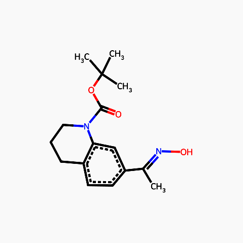 CC(=NO)c1ccc2c(c1)N(C(=O)OC(C)(C)C)CCC2